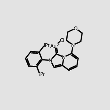 CC(C)c1cccc(C(C)C)c1-n1cc2cccc(N3CCOCC3)n2[c]1=[Au-2][Cl]